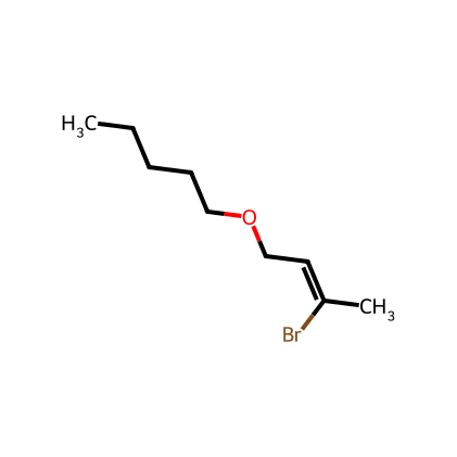 CCCCCOCC=C(C)Br